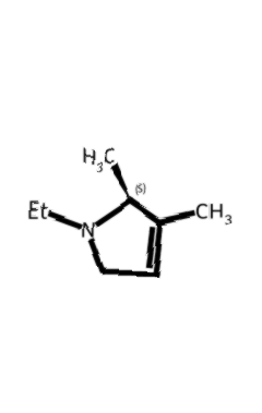 CCN1CC=C(C)[C@@H]1C